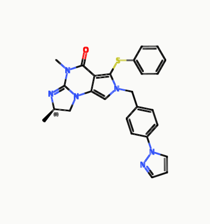 C[C@@H]1CN2C(=N1)N(C)C(=O)c1c2cn(Cc2ccc(-n3cccn3)cc2)c1Sc1ccccc1